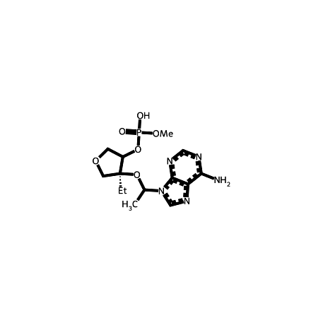 CC[C@]1(OC(C)n2cnc3c(N)ncnc32)COCC1OP(=O)(O)OC